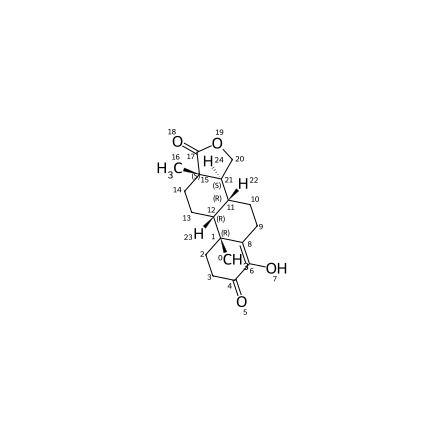 C[C@]12CCC(=O)C(O)=C1CC[C@@H]1[C@H]2CC[C@]2(C)C(=O)OC[C@@H]12